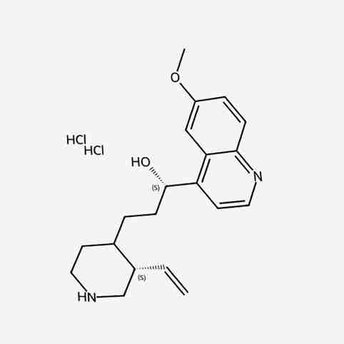 C=C[C@@H]1CNCCC1CC[C@H](O)c1ccnc2ccc(OC)cc12.Cl.Cl